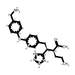 CCC[C@H](C(C)=O)[C@H](Cc1ccc(Oc2ccc(CN)cc2)nc1)c1nnn[nH]1